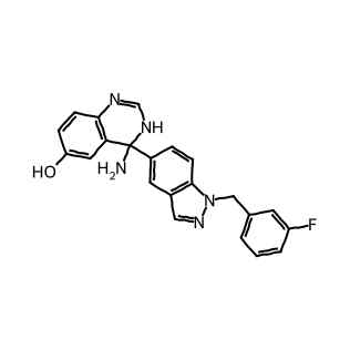 NC1(c2ccc3c(cnn3Cc3cccc(F)c3)c2)NC=Nc2ccc(O)cc21